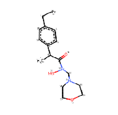 CC(C)Cc1ccc(C(C)C(=O)N(O)CN2CCOCC2)cc1